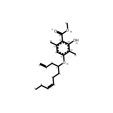 C=CCC(CC/C=C\CC)Oc1cc(C)c(C(=O)OC)c(O)c1C